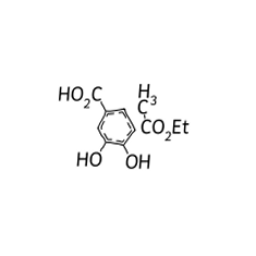 CCOC(C)=O.O=C(O)c1ccc(O)c(O)c1